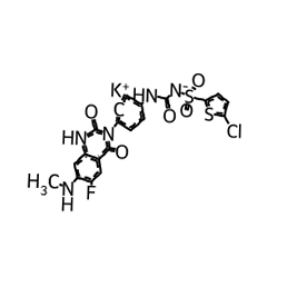 CNc1cc2[nH]c(=O)n(-c3ccc(NC(=O)[N-]S(=O)(=O)c4ccc(Cl)s4)cc3)c(=O)c2cc1F.[K+]